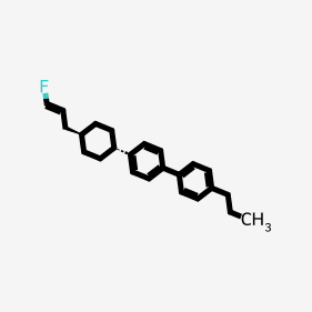 CCCc1ccc(-c2ccc([C@H]3CC[C@H](CC=CF)CC3)cc2)cc1